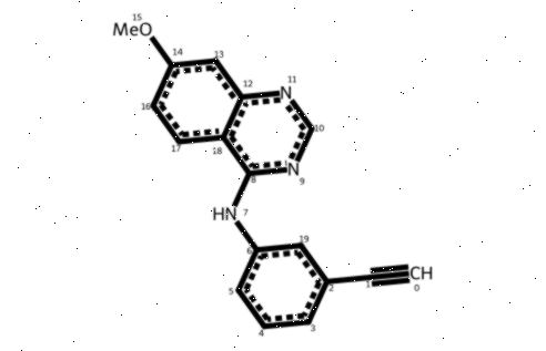 C#Cc1cccc(Nc2ncnc3cc(OC)[c]cc23)c1